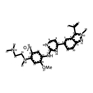 C=C(C)c1c2cc(-c3ccnc(Nc4cc([N+](=O)[O-])c(N(C)CCN(C)C)cc4OC)n3)ccc2nn1C